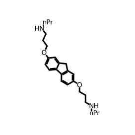 CCCNCCCOc1ccc2c(c1)Cc1cc(OCCCNCCC)ccc1-2